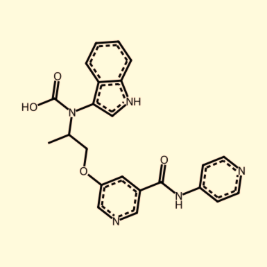 CC(COc1cncc(C(=O)Nc2ccncc2)c1)N(C(=O)O)c1c[nH]c2ccccc12